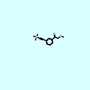 COCC(=O)c1cccc(C#C[Si](C)(C)C)c1